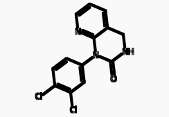 O=C1NCc2cccnc2N1c1ccc(Cl)c(Cl)c1